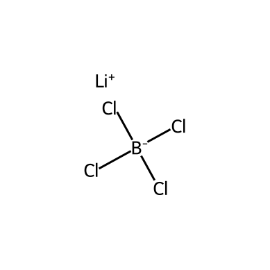 Cl[B-](Cl)(Cl)Cl.[Li+]